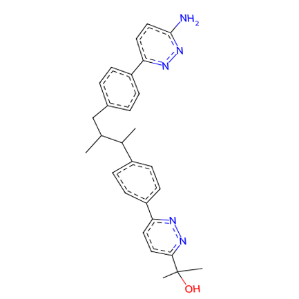 CC(Cc1ccc(-c2ccc(N)nn2)cc1)C(C)c1ccc(-c2ccc(C(C)(C)O)nn2)cc1